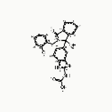 O=C(O)Nc1nc2cc(C3(O)c4ccccc4C(=O)N3Cc3ccccc3Cl)ccc2[nH]1